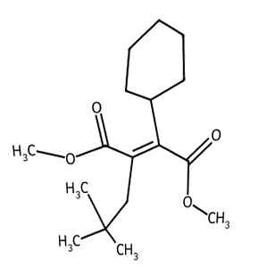 COC(=O)C(CC(C)(C)C)=C(C(=O)OC)C1CCCCC1